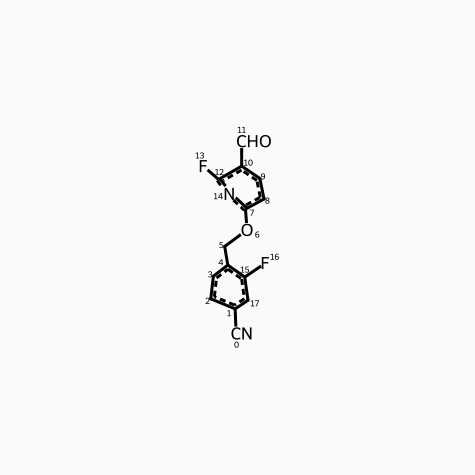 N#Cc1ccc(COc2ccc(C=O)c(F)n2)c(F)c1